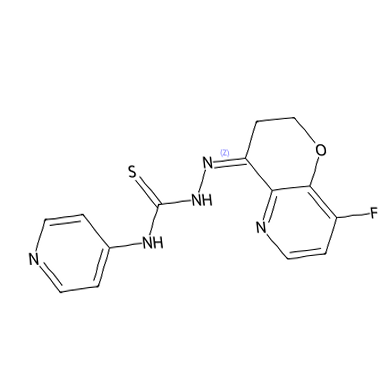 Fc1ccnc2c1OCC/C2=N/NC(=S)Nc1ccncc1